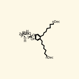 CCCCCCCCCCCCCCCCCc1ccccc1CCCCCCCCCCCCCCCCC.OP(O)(O)=S.OP(O)(O)=S.[Zn]